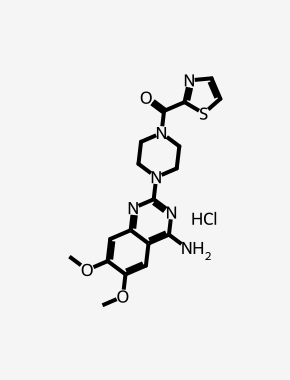 COc1cc2nc(N3CCN(C(=O)c4nccs4)CC3)nc(N)c2cc1OC.Cl